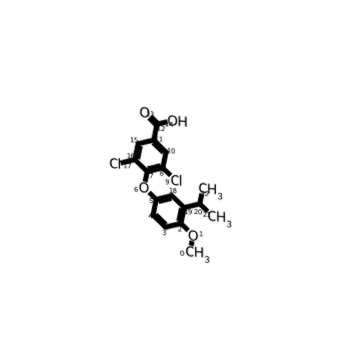 COc1ccc(Oc2c(Cl)cc(C(=O)O)cc2Cl)cc1C(C)C